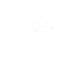 COc1ccc(Cc2cn([C@@H]3O[C@H](CO)[C@@H](O)[C@H](O)[C@H]3O)c3cc(C)cc(F)c23)cc1